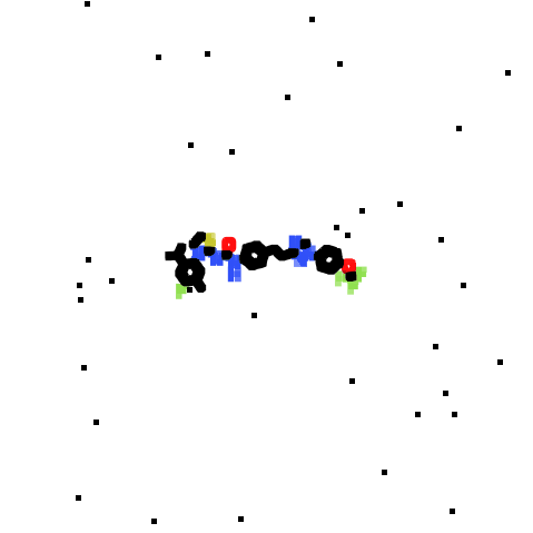 Cc1cc(N2CCS/C2=N\C(=O)Nc2ccc(CCc3ncn(-c4ccc(OC(F)(F)F)cc4)n3)cc2)c(C(C)C)cc1F